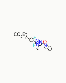 CCOC(=O)C1CC1c1ccc(-c2nc3nc(C(=O)N4CCc5ccccc5[C@H]4C)cc(C4CC4)n3c2F)c(F)c1